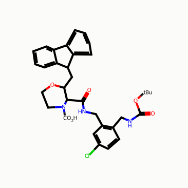 CC(C)(C)OC(=O)NCc1ccc(Cl)cc1CNC(=O)C1C(CC2c3ccccc3-c3ccccc32)OCCN1C(=O)O